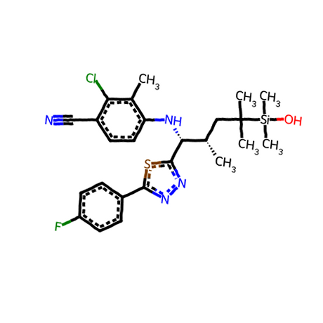 Cc1c(N[C@@H](c2nnc(-c3ccc(F)cc3)s2)[C@@H](C)CC(C)(C)[Si](C)(C)O)ccc(C#N)c1Cl